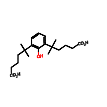 CC(C)(CCCC(=O)O)c1cccc(C(C)(C)CCCC(=O)O)c1O